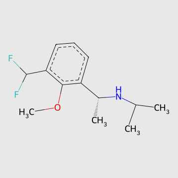 COc1c(C(F)F)cccc1[C@@H](C)NC(C)C